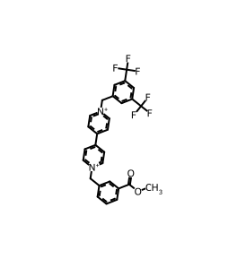 COC(=O)c1cccc(C[n+]2ccc(-c3cc[n+](Cc4cc(C(F)(F)F)cc(C(F)(F)F)c4)cc3)cc2)c1